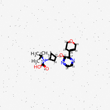 CC(C)(C)N(C(=O)O)[C@H]1C[C@H](Oc2nccnc2C2=CCOCC2)C1